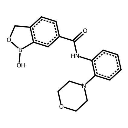 O=C(Nc1ccccc1N1CCOCC1)c1ccc2c(c1)B(O)OC2